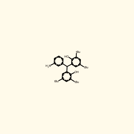 CC(C)(C)c1cc(C(c2cccc(N)c2)c2cc(C(C)(C)C)cc(C(C)(C)C)c2O)c(O)c(C(C)(C)C)c1